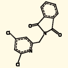 O=C1c2ccccc2C(=O)N1Cc1cc(Cl)cc(Cl)n1